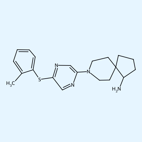 Cc1ccccc1Sc1cnc(N2CCC3(CCCC3N)CC2)cn1